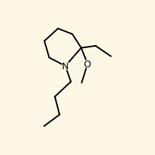 CCCCN1CCCCC1(CC)OC